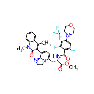 COC(=O)[C@H](Cc1ccc(-c2c(C)c3ccccc3n(C)c2=O)c2nccn12)NC(=O)c1c(F)cc(N2CCOC[C@H]2C(F)(F)F)cc1F